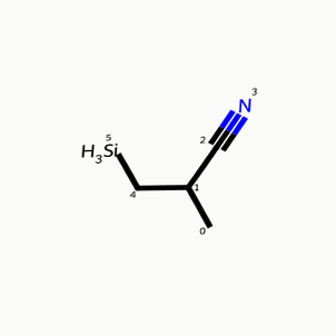 CC(C#N)C[SiH3]